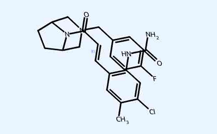 Cc1cc(/C=C/C(=O)N2C3CCC2CN(Cc2ccc(F)cc2)C3)c(NC(N)=O)cc1Cl